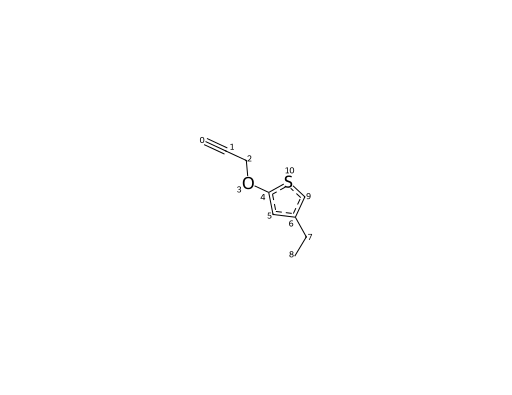 C#CCOc1cc(CC)cs1